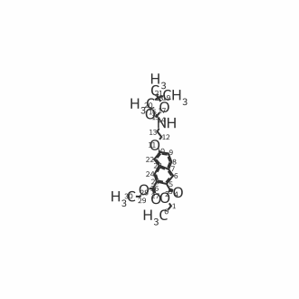 CCOC(=O)c1cc2ccc(OCCNC(=O)OC(C)(C)C)cc2cc1C(=O)OCC